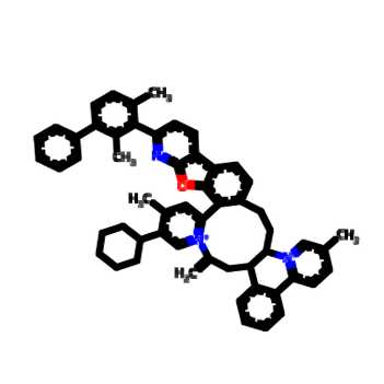 C=C1CC2c3ccccc3-c3ccc(C)c[n+]3C2CCc2ccc3c(oc4nc(-c5c(C)ccc(-c6ccccc6)c5C)ccc43)c2-c2cc(C)c(C3CCCCC3)c[n+]21